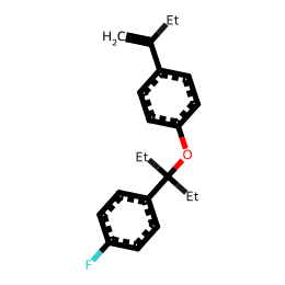 C=C(CC)c1ccc(OC(CC)(CC)c2ccc(F)cc2)cc1